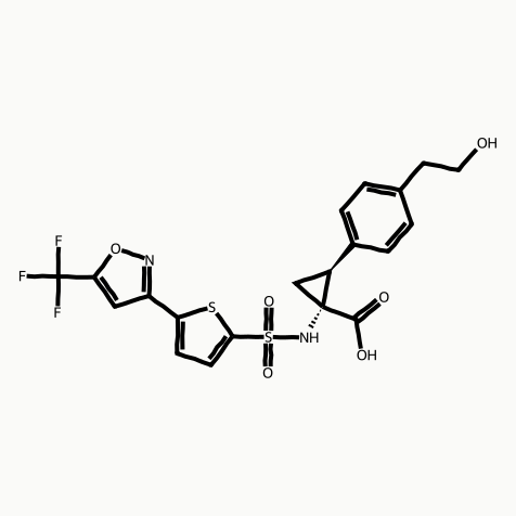 O=C(O)[C@@]1(NS(=O)(=O)c2ccc(-c3cc(C(F)(F)F)on3)s2)C[C@H]1c1ccc(CCO)cc1